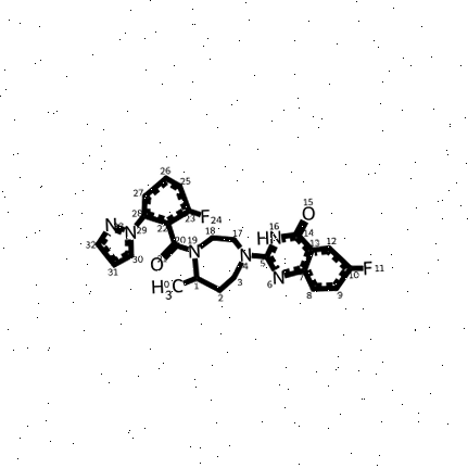 CC1CCN(c2nc3ccc(F)cc3c(=O)[nH]2)CCN1C(=O)c1c(F)cccc1-n1cccn1